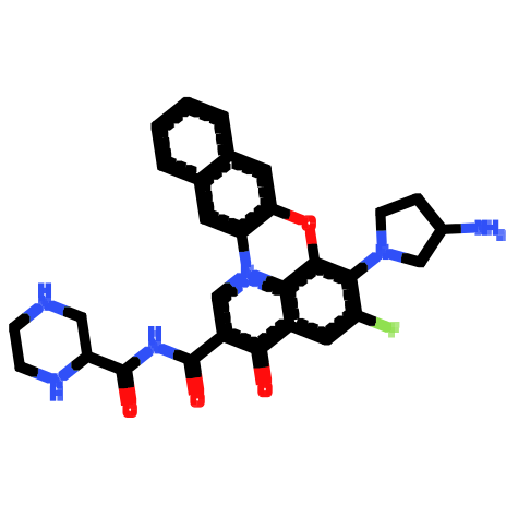 NC1CCN(c2c(F)cc3c(=O)c(C(=O)NC(=O)C4CNCCN4)cn4c3c2Oc2cc3ccccc3cc2-4)C1